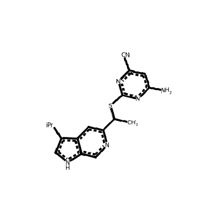 CC(C)c1c[nH]c2cnc(C(C)Sc3nc(N)cc(C#N)n3)cc12